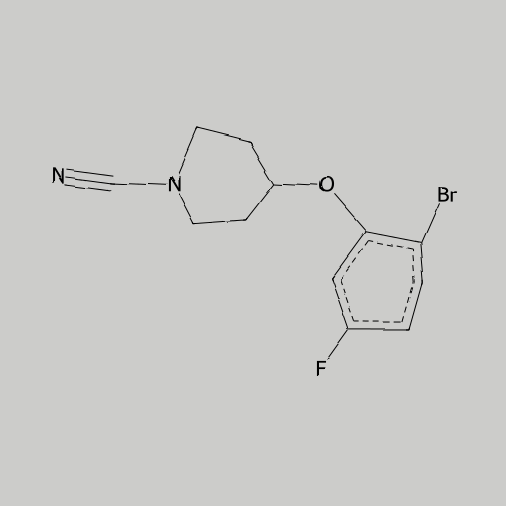 N#CN1CCC(Oc2cc(F)ccc2Br)CC1